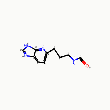 O=CNCCCc1ccc2nc[nH]c2n1